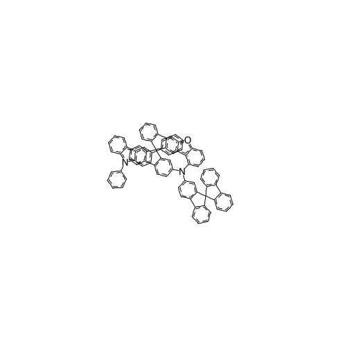 c1ccc(-n2c3ccccc3c3cc(-c4ccc5oc6cccc(N(c7ccc8c(c7)C7(c9ccccc9-c9ccccc97)c7ccccc7-8)c7ccc8c(c7)C7(c9ccccc9-c9ccccc97)c7ccccc7-8)c6c5c4)ccc32)cc1